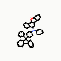 C1=CCCC(N(c2ccc(C3(c4ccccc4)c4ccccc4-c4ccccc43)cc2)c2cc3c4ccccc4oc3c3ccccc23)=C1